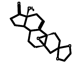 C[C@]12CC=C3C(CC[C@@]45CC6(CC[C@]34O5)OCCO6)C1CCC2=O